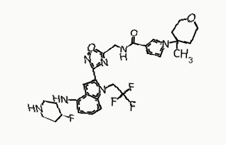 CC1(n2ccc(C(=O)NCc3nc(-c4cc5c(N[C@@H]6CNCC[C@@H]6F)cccc5n4CC(F)(F)F)no3)c2)CCOCC1